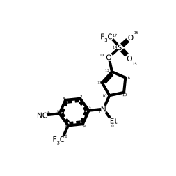 CCN(c1ccc(C#N)c(C(F)(F)F)c1)C1C=C(OS(=O)(=O)C(F)(F)F)CC1